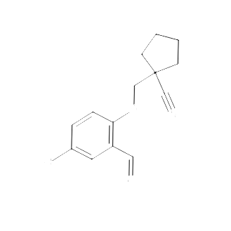 N#CC1(COc2ccc(Cl)cc2C=O)CCCC1